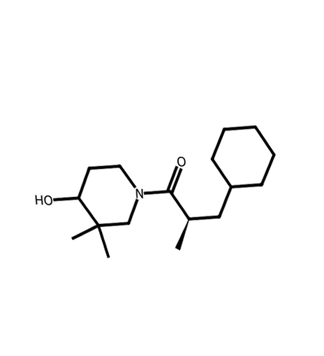 C[C@H](CC1CCCCC1)C(=O)N1CCC(O)C(C)(C)C1